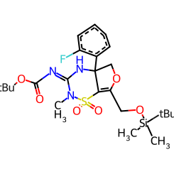 CN1/C(=N\C(=O)OC(C)(C)C)NC2(c3ccccc3F)COC(CO[Si](C)(C)C(C)(C)C)=C2S1(=O)=O